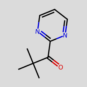 CC(C)(C)C(=O)c1ncccn1